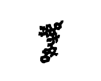 C[C@]1(C(N)=O)COc2c1cc([C@@](O)(CNC(=O)c1cnn(-c3ccccc3)c1C(F)(F)F)C(F)(F)F)nc2-c1ccc(F)cc1